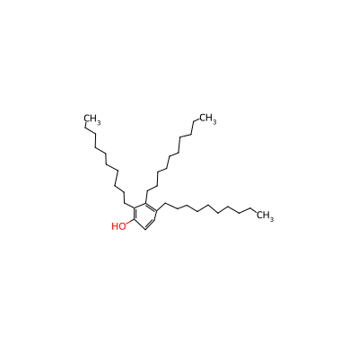 CCCCCCCCCCc1ccc(O)c(CCCCCCCCCC)c1CCCCCCCCCC